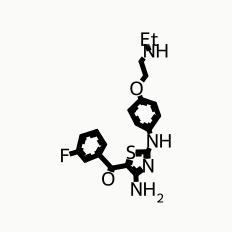 CCNCCOc1ccc(Nc2nc(N)c(C(=O)c3cccc(F)c3)s2)cc1